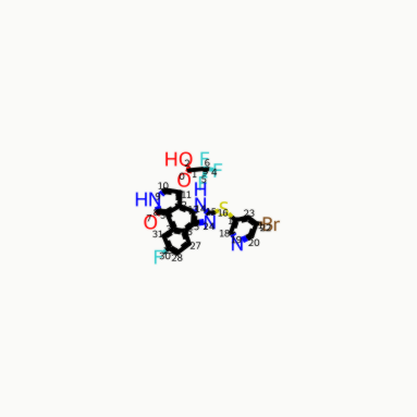 O=C(O)C(F)(F)F.O=c1[nH]ccc2c3[nH]c(Sc4cncc(Br)c4)nc3c3ccc(F)cc3c12